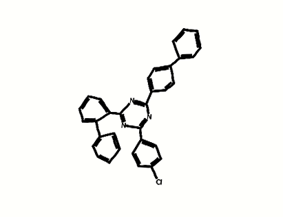 Clc1ccc(-c2nc(-c3ccc(-c4ccccc4)cc3)nc(-c3ccccc3-c3ccccc3)n2)cc1